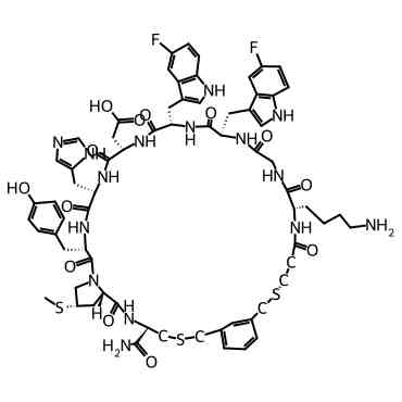 CS[C@H]1C[C@H]2C(=O)N[C@H](C(N)=O)CSCc3cccc(c3)CSCCC(=O)N[C@@H](CCCCN)C(=O)NCC(=O)N[C@@H](Cc3c[nH]c4ccc(F)cc34)C(=O)N[C@@H](Cc3c[nH]c4ccc(F)cc34)C(=O)N[C@@H](CC(=O)O)C(=O)N[C@@H](Cc3cnc[nH]3)C(=O)N[C@@H](Cc3ccc(O)cc3)C(=O)N2C1